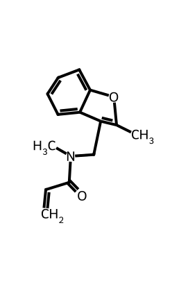 C=CC(=O)N(C)Cc1c(C)oc2ccccc12